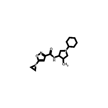 CC1CN(C2CCCCC2)CC1NC(=O)c1cc(P2CC2)on1